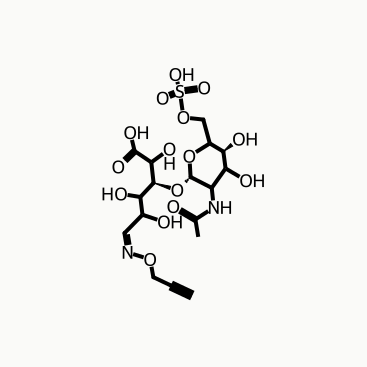 C#CCO/N=C\C(O)C(O)[C@H](O[C@@H]1OC(COS(=O)(=O)O)[C@@H](O)C(O)C1NC(C)=O)C(O)C(=O)O